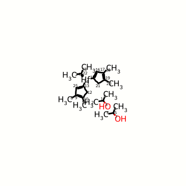 CC(C)O.CC(C)O.CC1=C(C)C[C]([Hf]([C]2=CC(C)=C(C)C2)=[C](C)C)=C1